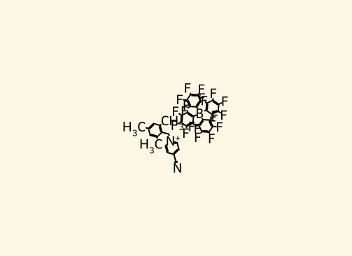 Cc1cc(C)c(C[n+]2ccc(C#N)cc2)c(C)c1.Fc1c(F)c(F)c([B-](c2c(F)c(F)c(F)c(F)c2F)(c2c(F)c(F)c(F)c(F)c2F)c2c(F)c(F)c(F)c(F)c2F)c(F)c1F